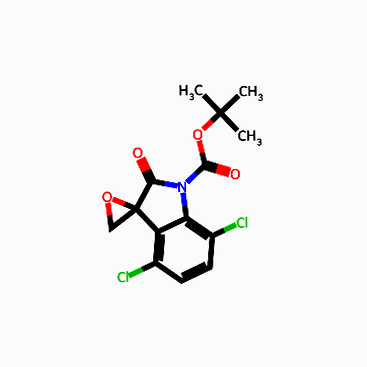 CC(C)(C)OC(=O)N1C(=O)C2(CO2)c2c(Cl)ccc(Cl)c21